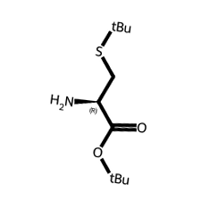 CC(C)(C)OC(=O)[C@@H](N)CSC(C)(C)C